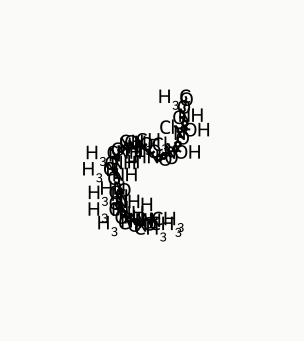 COCCOCCNC(=O)c1ccc2c(O)cc3c(c2c1)C(CCl)CN3C(=O)Cc1ccc2c(O)cc3c(c2c1)C(CCl)CN3C(=O)c1cc2cc(NC(=O)CCNC(=O)c3cc(NC(=O)c4cc(NC(=O)c5cc(NC(=O)c6cc(NC(=O)CCCNC(=O)c7nc(NC(=O)c8nc(NC(=O)c9nc(NC(=O)c%10nc(NC(=O)CN(C)C)cn%10C)cn9C)cn8C)cn7C)cn6C)cn5C)cn4C)cn3C)ccc2o1